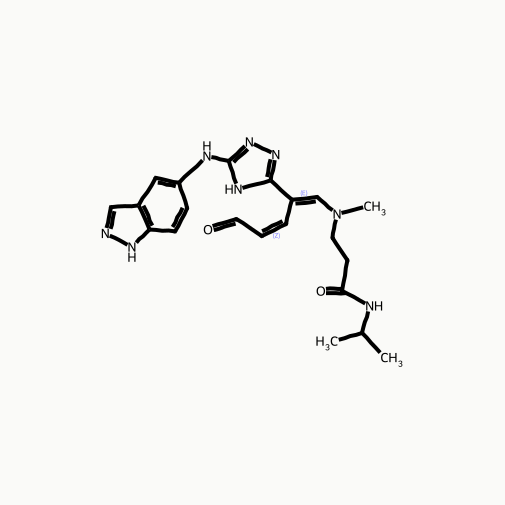 CC(C)NC(=O)CCN(C)/C=C(\C=C/C=O)c1nnc(Nc2ccc3[nH]ncc3c2)[nH]1